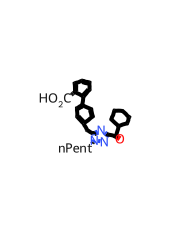 CCCCCn1nc(C(=O)C2CCCCC2)nc1Cc1ccc(-c2ccccc2C(=O)O)cc1